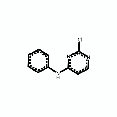 Clc1nccc(Nc2cc[c]cc2)n1